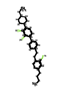 CCCCc1ccc(CCc2ccc(-c3ccc(C4CCC(CC)CC4)c(F)c3F)cc2)c(F)c1